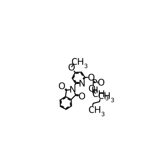 CCCC.COc1cc(O[PH](=O)OC)nc(N2C(=O)c3ccccc3C2=O)c1